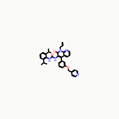 C=CCn1c(=O)c(NC(=O)Nc2c(C(C)C)cccc2C(C)C)c(-c2cccc(OCc3ccncc3)c2)c2cccnc21